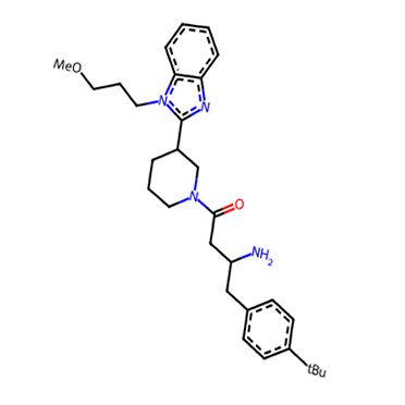 COCCCn1c(C2CCCN(C(=O)CC(N)Cc3ccc(C(C)(C)C)cc3)C2)nc2ccccc21